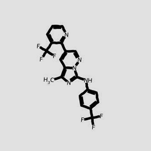 Cc1nc(Nc2ccc(C(F)(F)F)cc2)n2ncc(-c3ncccc3C(F)(F)F)cc12